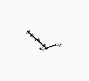 O=C(O)CCCCCCCCCCC(=O)N(CCCC(=O)NCCOCCOCC(=O)NCCOCCOCC(=O)NCCNC(=O)CBr)C(=O)O